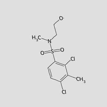 Cc1c(Cl)ccc(S(=O)(=O)N(C)CC[O])c1Cl